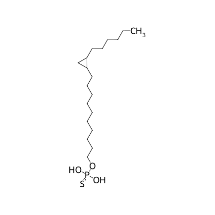 CCCCCCC1CC1CCCCCCCCCCOP(O)(O)=S